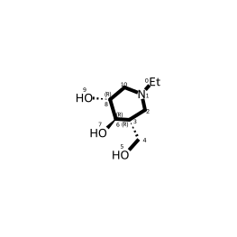 CCN1C[C@H](CO)[C@@H](O)[C@H](O)C1